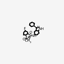 CS(=O)(=O)c1ccc(F)cc1S(=O)(=O)Nc1ccc2[nH]nc(-c3ccccc3)c2c1